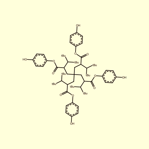 CC(C)(C)C(C(CC(CC(C(=O)Oc1ccc(O)cc1)C(C(C)(C)C)C(C)(C)C)(CC(C(=O)Oc1ccc(O)cc1)C(C(C)(C)C)C(C)(C)C)CC(C(=O)Oc1ccc(O)cc1)C(C(C)(C)C)C(C)(C)C)C(=O)Oc1ccc(O)cc1)C(C)(C)C